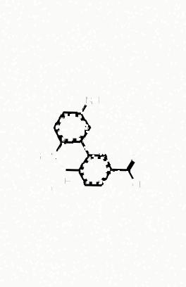 CC(=O)c1ccc(F)c(-c2cc(N)ccc2N)c1.Cl.Cl